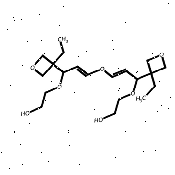 CCC1(C(C=COC=CC(OCCO)C2(CC)COC2)OCCO)COC1